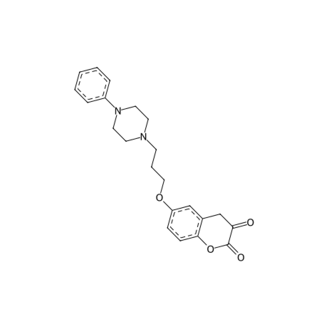 O=C1Cc2cc(OCCCN3CCN(c4ccccc4)CC3)ccc2OC1=O